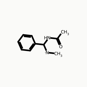 C[N]C(NC(C)=O)c1ccccc1